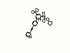 COC(=O)c1cc(NC(=O)OC2CCCC2)nc(-c2ccc(C#Cc3cccnc3)cc2)c1